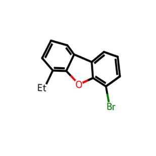 CCc1cccc2c1oc1c(Br)cccc12